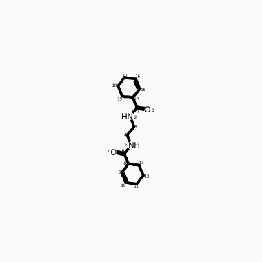 O=C(NCCNC(=O)C1C=CCCC1)C1C=CCCC1